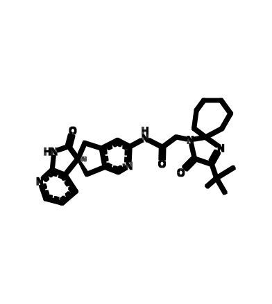 CC(C)(C)C1=NC2(CCCCCC2)N(CC(=O)Nc2cc3c(cn2)C[C@]2(C3)C(=O)Nc3ncccc32)C1=O